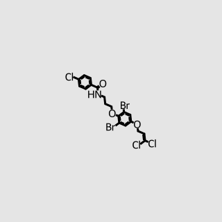 O=C(NCCCOc1c(Br)cc(OCC=C(Cl)Cl)cc1Br)c1ccc(Cl)cc1